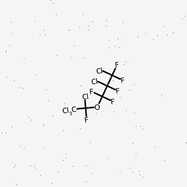 FC(F)(Cl)C(F)(Cl)C(F)(F)OC(F)(Cl)C(Cl)(Cl)Cl